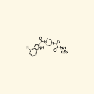 CCCCNC(=O)C(=O)N1CCN(C(=O)c2cc3c(F)cccc3[nH]2)CC1